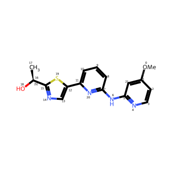 COc1ccnc(Nc2cccc(-c3cnc([C@H](C)O)s3)n2)c1